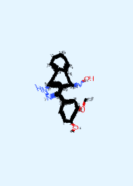 COc1ccc(-c2n[nH]c3c2C(=NO)c2ccccc2-3)cc1OC